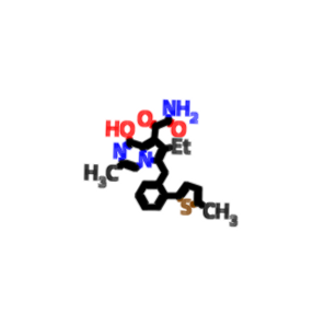 CCc1c(C(=O)C(N)=O)c2c(O)nc(C)cn2c1Cc1ccccc1-c1ccc(C)s1